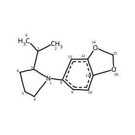 CC(C)C1CCCN1c1ccc2c(c1)OCO2